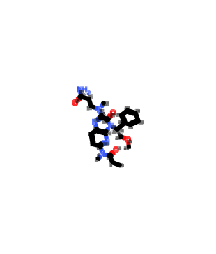 CCC(=O)N(C)c1ccc2nc(N(C)CCC(N)=O)c(=O)n([C@@H](COC)c3ccccc3)c2n1